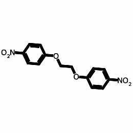 O=[N+]([O-])c1ccc(OCCOc2ccc([N+](=O)[O-])cc2)cc1